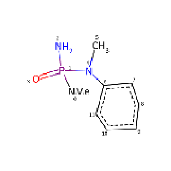 CNP(N)(=O)N(C)c1ccccc1